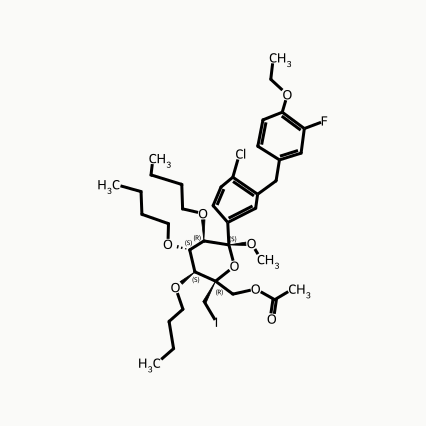 CCCCO[C@@H]1[C@@H](OCCCC)[C@](OC)(c2ccc(Cl)c(Cc3ccc(OCC)c(F)c3)c2)O[C@](CI)(COC(C)=O)[C@H]1OCCCC